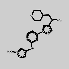 CN(CC1CCOCC1)c1cnn(-c2ccnc(Nc3cnn(C)c3)n2)c1